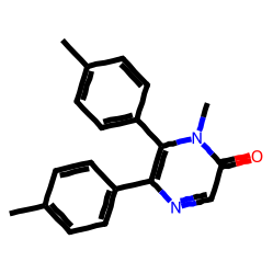 Cc1ccc(-c2ncc(=O)n(C)c2-c2ccc(C)cc2)cc1